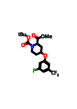 COC(=O)C1CC(Oc2cc(F)cc(C(F)(F)F)c2)CCN1C(=O)OC(C)(C)C